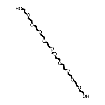 OCCOCCOCCOCCOCCOSOCCOCCOCCOCCOCCO